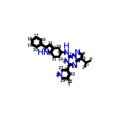 CC(C)c1cnn2c(NC3CCc4[nH]c(-c5ccccc5)cc4C3)nc(-c3cncc(F)c3)nc12